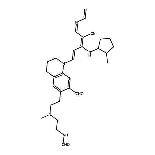 C=C\N=C/C(C#N)=C(\C=C\N1CCCc2cc(CCN(C)CCNC=O)c(C=O)nc21)NC1CCCC1C